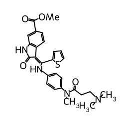 COC(=O)c1ccc2c(c1)NC(=O)/C2=C(\Nc1ccc(N(C)C(=O)CCN(C)C)cc1)c1cccs1